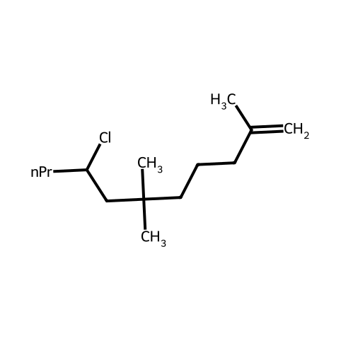 C=C(C)CCCC(C)(C)CC(Cl)CCC